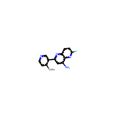 COc1ccncc1-c1cc(N)c2nc(F)ccc2n1